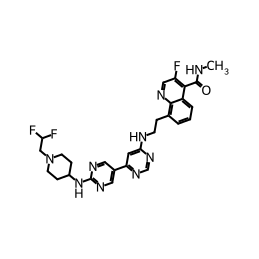 CNC(=O)c1c(F)cnc2c(CCNc3cc(-c4cnc(NC5CCN(CC(F)F)CC5)nc4)ncn3)cccc12